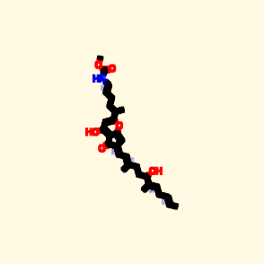 C/C=C/C/C=C(\C)C(O)CC/C(C)=C/C=C1\C=C2OC(C(C)CC/C=C/NC(=O)OC)=CC(O)=C2C1=O